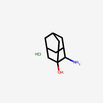 Cl.NC1C2CC3CC(C2)CC1(O)C3